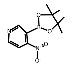 CC1(C)OB(c2cnccc2[N+](=O)[O-])OC1(C)C